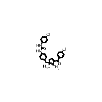 CN1C(C(=O)c2ccc(Cl)cc2)=CCC1(C)Cc1ccc(NC(=S)Nc2ccc(Cl)cc2)cc1